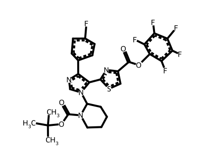 CC(C)(C)OC(=O)N1CCCCC1n1cnc(-c2ccc(F)cc2)c1-c1nc(C(=O)Oc2c(F)c(F)c(F)c(F)c2F)cs1